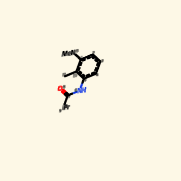 CNc1cccc(NC(=O)C(C)C)c1C